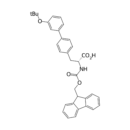 CC(C)(C)Oc1cccc(-c2ccc(C[C@@H](NC(=O)OCC3c4ccccc4-c4ccccc43)C(=O)O)cc2)c1